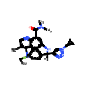 [2H]C(Nc1cc(C(=O)N(C)C)c2ncc(C#N)c(NCC(C)(C)C)c2c1)(c1ccc(F)cc1)c1cn(C2CC2)nn1